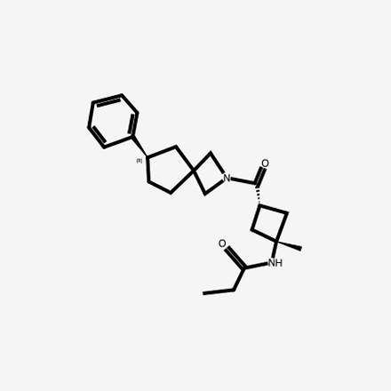 CCC(=O)N[C@]1(C)C[C@H](C(=O)N2CC3(CC[C@@H](c4ccccc4)C3)C2)C1